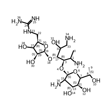 CC(N)[C@@H](O[C@H]1OC([C@H](C)O)[C@@H](O)[C@H](O)C1N)[C@H](O[C@@H]1O[C@H](CNC(=N)N)C(O)[C@@H]1O)C(O)CN